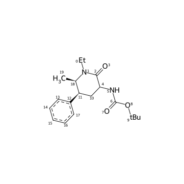 CCN1C(=O)C(NC(=O)OC(C)(C)C)C[C@@H](c2ccccc2)[C@H]1C